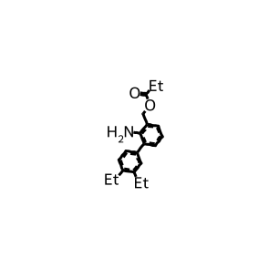 CCC(=O)OCc1cccc(-c2ccc(CC)c(CC)c2)c1N